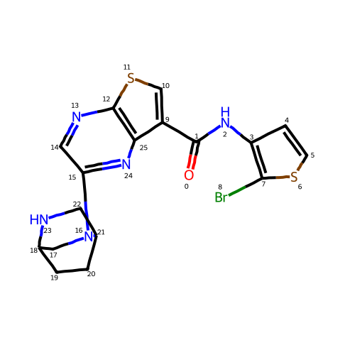 O=C(Nc1ccsc1Br)c1csc2ncc(N3CC4CCC3CN4)nc12